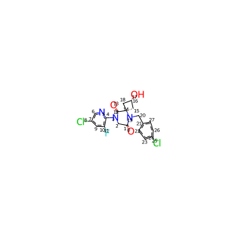 O=C1CN(c2ncc(Cl)cc2F)C(=O)[C@]2(C[C@@H](O)C2)N1Cc1ccc(Cl)cc1